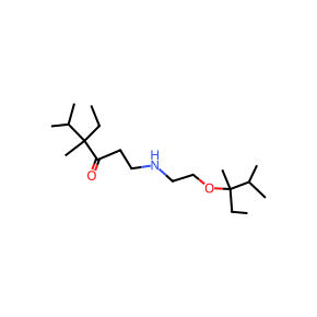 CCC(C)(OCCNCCC(=O)C(C)(CC)C(C)C)C(C)C